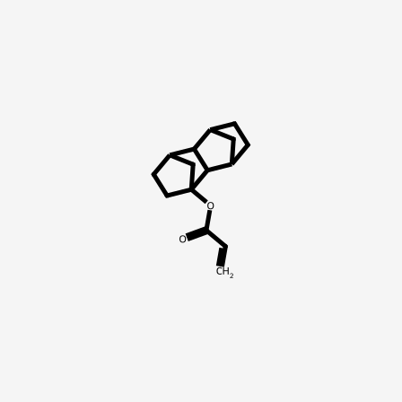 C=CC(=O)OC12CCC(C1)C1C3CCC(C3)C12